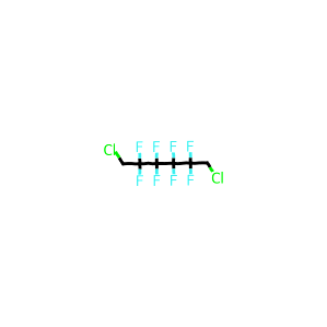 FC(F)(CCl)C(F)(F)C(F)(F)C(F)(F)CCl